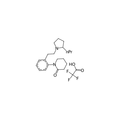 CCCC1CCCN1CCc1ccccc1N1CCCCC1=O.O=C(O)C(F)(F)F